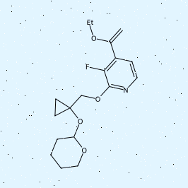 C=C(OCC)c1ccnc(OCC2(OC3CCCCO3)CC2)c1F